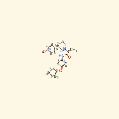 C[C@@H](C(=O)Nc1ccc(Oc2ccc(F)cc2F)cn1)N1CCC[C@@H](c2cc[n+]([O-])cc2)C1